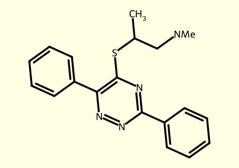 CNCC(C)Sc1nc(-c2ccccc2)nnc1-c1ccccc1